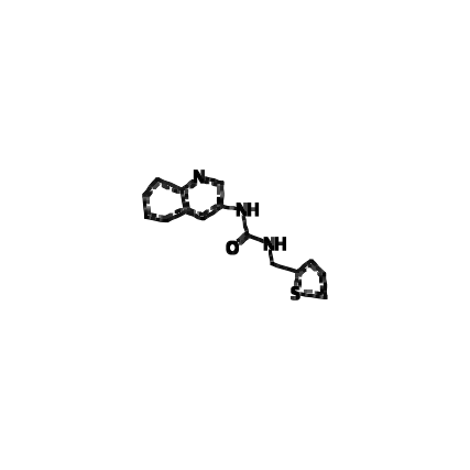 O=C(NCc1cccs1)Nc1cnc2ccccc2c1